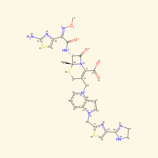 CO/N=C(\C(=O)N[C@@H]1C(=O)N2C(C(=O)[O-])=C(C[n+]3cccc4c3ccn4Cc3nc(C4=NCCN4)cs3)CS[C@H]12)c1csc(N)n1